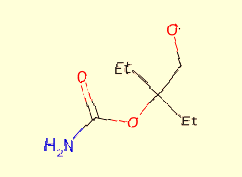 CCC(CC)(C[O])OC(N)=O